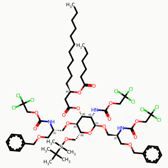 CCCCCCCCCCC[C@H](CC(=O)O[C@@H]1[C@H](NC(=O)OCC(Cl)(Cl)Cl)[C@@H](OC[C@H](COCc2ccccc2)NC(=O)OCC(Cl)(Cl)Cl)O[C@H](CO[Si](C)(C)C(C)(C)C)[C@H]1OC[C@H](COCc1ccccc1)NC(=O)OCC(Cl)(Cl)Cl)OC(=O)CCCCC